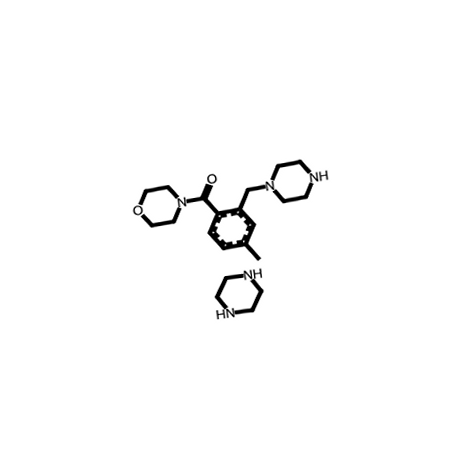 C1CNCCN1.Cc1ccc(C(=O)N2CCOCC2)c(CN2CCNCC2)c1